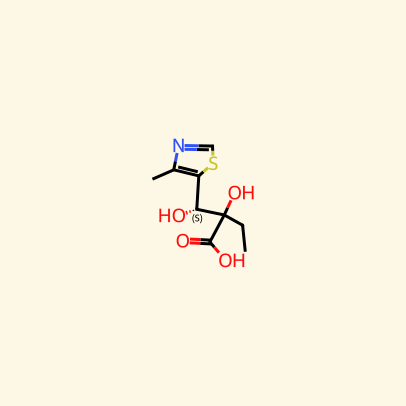 CCC(O)(C(=O)O)[C@H](O)c1scnc1C